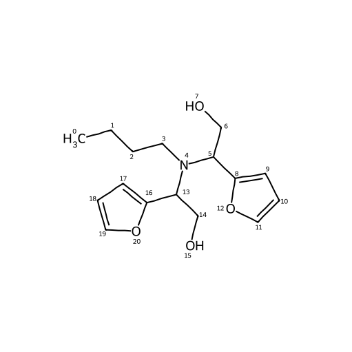 CCCCN(C(CO)c1ccco1)C(CO)c1ccco1